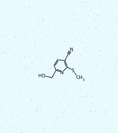 CSc1nc(CO)ccc1C#N